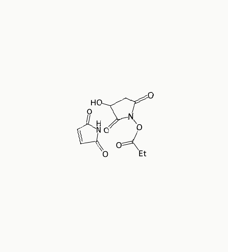 CCC(=O)ON1C(=O)CC(O)C1=O.O=C1C=CC(=O)N1